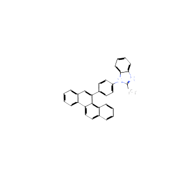 CC(C)c1nc2ccccc2n1-c1ccc(-c2cc3ccccc3c3ccc4ccccc4c23)cc1